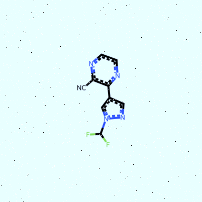 N#Cc1nccnc1-c1cnn(C(F)F)c1